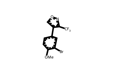 COc1ccc(-c2conc2C(F)(F)F)cc1Br